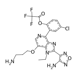 CCn1c(-c2nonc2N)nc2c(-c3cc(Cl)ccc3OC(=O)C(F)(F)F)ncc(OCCCN)c21